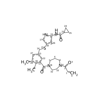 C=CC(=O)N1CCCN(C(=O)c2cc(CSc3cnc(NC(=O)C4CC4)s3)cc(C)c2C)CC1